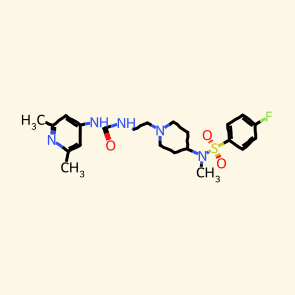 Cc1cc(NC(=O)NCCN2CCC(N(C)S(=O)(=O)c3ccc(F)cc3)CC2)cc(C)n1